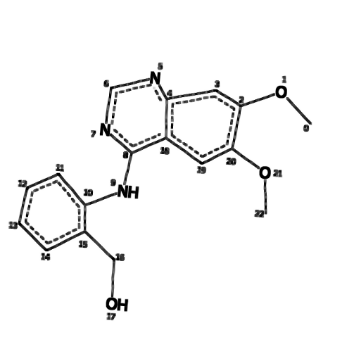 COc1cc2ncnc(Nc3ccccc3CO)c2cc1OC